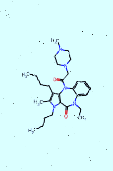 CCCCc1c2c(n(CCCC)c1C)C(=O)N(CC)c1ccccc1N2C(=O)CN1CCN(C)CC1